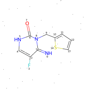 N=c1c(F)c[nH]c(=O)n1Cc1cccs1